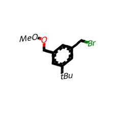 COOCc1cc(CBr)cc(C(C)(C)C)c1